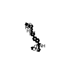 CCC(CNc1ncc(-c2ccc3cc(-c4c[nH]c(C5CCCN5C(=O)OC(C)(C)C)n4)ccc3c2)cn1)NC(=O)OC(C)(C)C